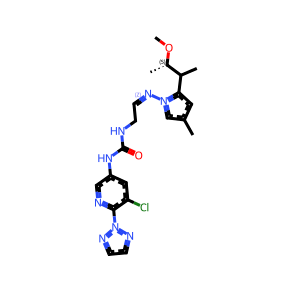 CO[C@@H](C)C(C)c1cc(C)cn1/N=C\CNC(=O)Nc1cnc(-n2nccn2)c(Cl)c1